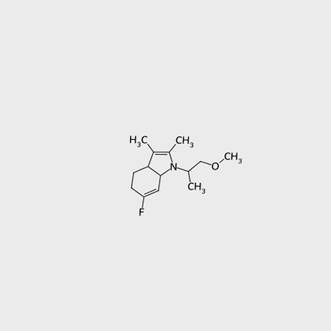 COCC(C)N1C(C)=C(C)C2CCC(F)=CC21